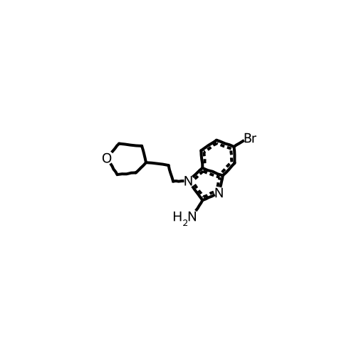 Nc1nc2cc(Br)ccc2n1CCC1CCOCC1